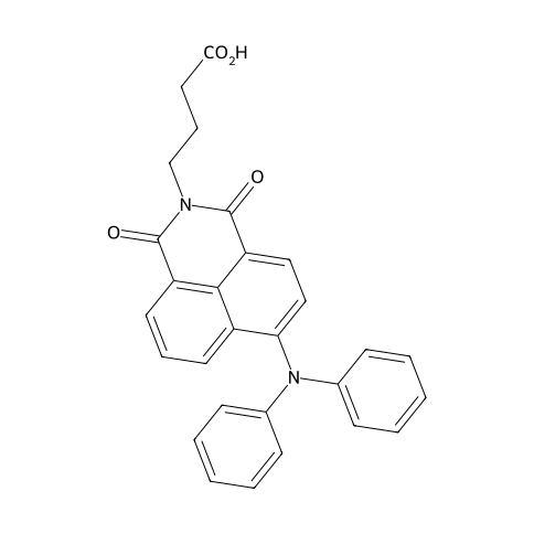 O=C(O)CCCN1C(=O)c2cccc3c(N(c4ccccc4)c4ccccc4)ccc(c23)C1=O